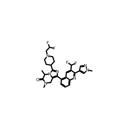 CC1C(=O)N(C)Cc2c(-c3cccc4nc(-c5cnn(C)c5)c(C(F)F)cc34)nc(C3CCN(CC(F)F)CC3)n21